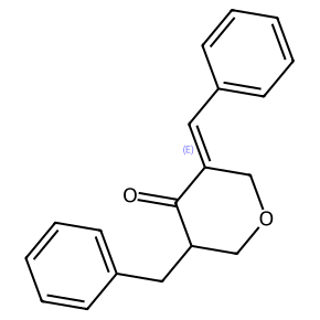 O=C1/C(=C/c2ccccc2)COCC1Cc1ccccc1